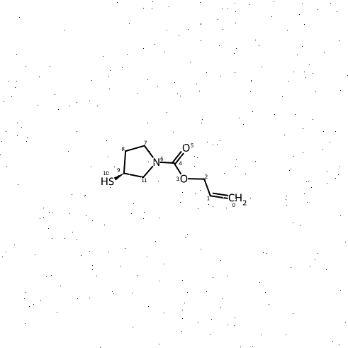 C=CCOC(=O)N1CC[C@H](S)C1